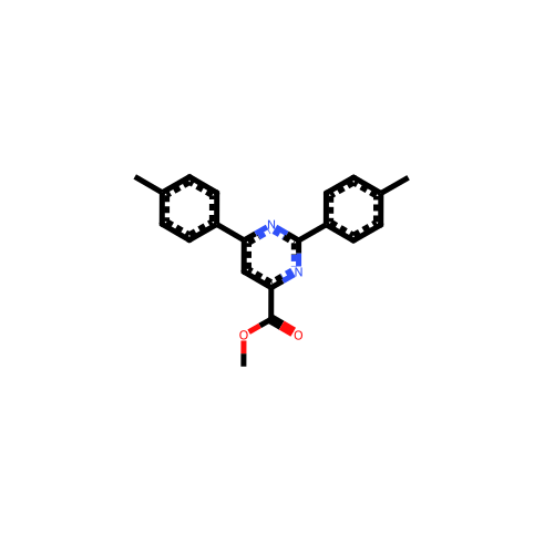 COC(=O)c1cc(-c2ccc(C)cc2)nc(-c2ccc(C)cc2)n1